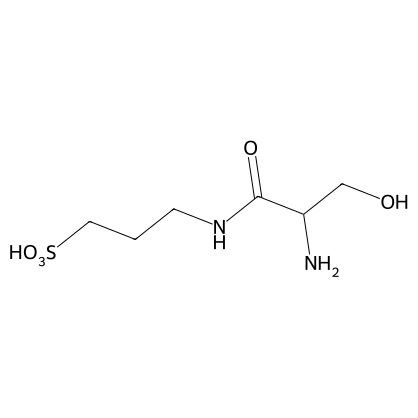 NC(CO)C(=O)NCCCS(=O)(=O)O